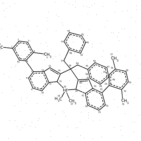 Cc1ccc(C)c(-c2cccc3c2C=C2[CH]3[Hf]([CH3])([CH3])[CH]3C(=Cc4c(-c5cc(C)ccc5C)cccc43)C2(Cc2ccccc2)Cc2ccccc2)c1